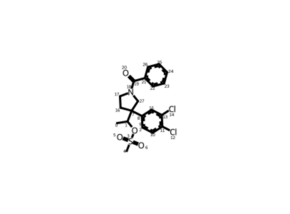 CC(OS(C)(=O)=O)C1(c2ccc(Cl)c(Cl)c2)CCN(C(=O)c2ccccc2)C1